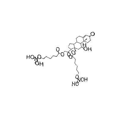 C[C@]12CCC(=O)C=C1CCC1C3CC[C@](OC(=O)CCCCCON(O)O)(C(=O)COC(=O)CCCCCON(O)O)[C@@]3(C)C[C@H](O)[C@@H]12